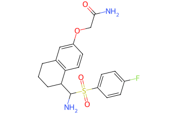 NC(=O)COc1ccc2c(c1)CCCC2C(N)S(=O)(=O)c1ccc(F)cc1